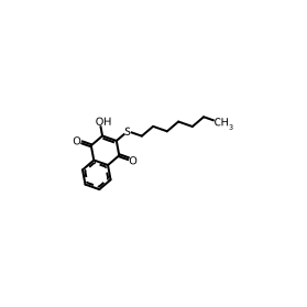 CCCCCCCSC1=C(O)C(=O)c2ccccc2C1=O